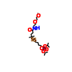 COCCOCCNC(=O)CCC(C)(C)SSCCCCOP(=O)(OC(C)C)OC(C)C